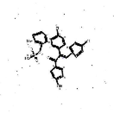 O=C(/C(=C/c1ccc(Cl)cc1)c1ccc(Cl)cc1)c1ccc(O)cc1.O=P([O-])(O)Oc1ccccc1.[Na+]